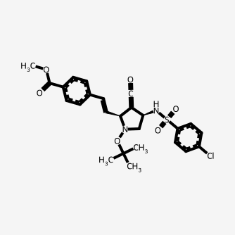 COC(=O)c1ccc(C=C[C@H]2C(=C=O)[C@@H](NS(=O)(=O)c3ccc(Cl)cc3)CN2OC(C)(C)C)cc1